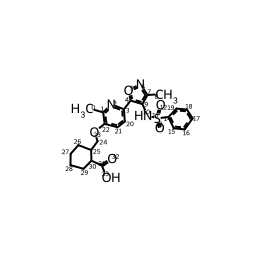 Cc1nc(-c2onc(C)c2NS(=O)(=O)c2ccccc2)ccc1OCC1CCCCC1C(=O)O